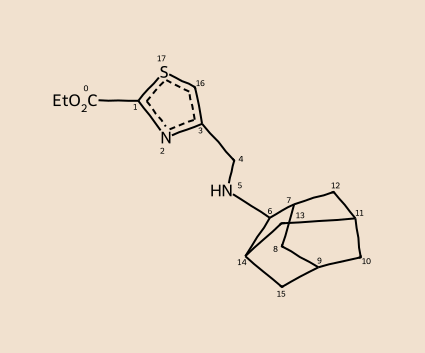 CCOC(=O)c1nc(CNC2C3CC4CC(C3)CC2C4)cs1